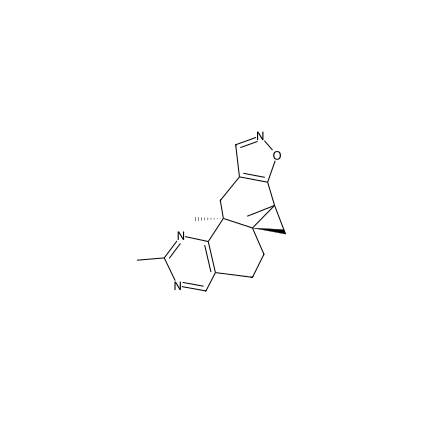 Cc1ncc2c(n1)[C@@]1(C)Cc3cnoc3C3(C)C[C@]31CC2